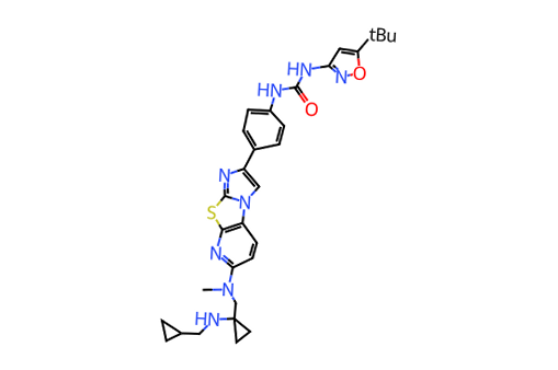 CN(CC1(NCC2CC2)CC1)c1ccc2c(n1)sc1nc(-c3ccc(NC(=O)Nc4cc(C(C)(C)C)on4)cc3)cn12